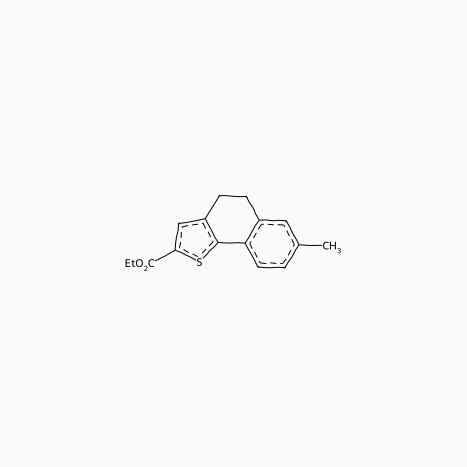 CCOC(=O)c1cc2c(s1)-c1ccc(C)cc1CC2